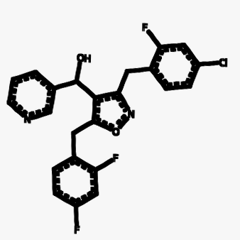 OC(c1cccnc1)c1c(Cc2ccc(Cl)cc2F)noc1Cc1ccc(F)cc1F